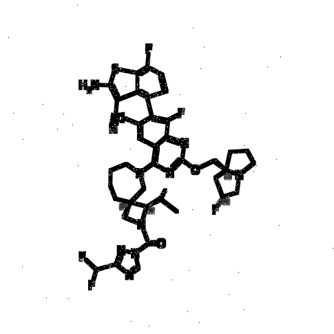 CC(C)[C@H]1N(C(=O)n2cnc(C(F)F)n2)C[C@]12CCCCN(c1nc(OC[C@@]34CCCN3C[C@H](F)C4)nc3c(F)c(-c4ccc(F)c5sc(N)c(C#N)c45)c(Cl)cc13)C2